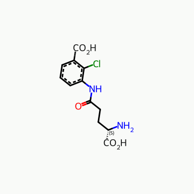 N[C@@H](CCC(=O)Nc1cccc(C(=O)O)c1Cl)C(=O)O